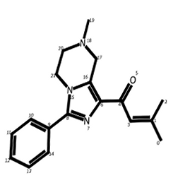 CC(C)=CC(=O)c1nc(-c2ccccc2)n2c1CN(C)CC2